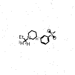 [2H]C([2H])(CC)N1CCC[C@H](c2cccc(S(C)(=O)=O)c2)C1